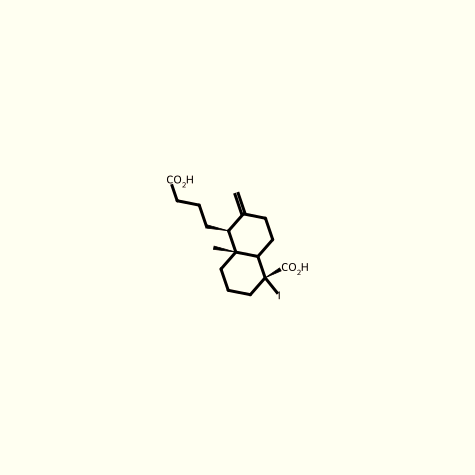 C=C1CCC2[C@](C)(CCC[C@]2(I)C(=O)O)[C@H]1CCCC(=O)O